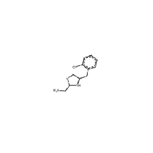 NCC1NC(Cc2ccccc2Cl)CS1